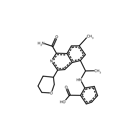 Cc1cc(C(C)Nc2ccccc2C(=O)O)c2cc(C3CCCOC3)nc(C(N)=O)c2c1